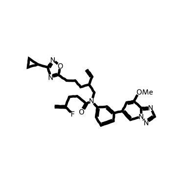 C=CC(CCCc1nc(C2CC2)no1)CN(C(=O)CCC(=C)F)c1cccc(-c2cc(OC)c3ncnn3c2)c1